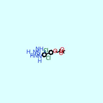 CC1(C)OCC(COc2ccc(-c3c(Cl)cc(NC(=N)N=C(N)N)cc3Cl)cc2)O1